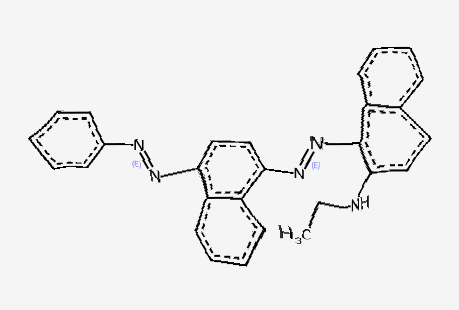 CCNc1ccc2ccccc2c1/N=N/c1ccc(/N=N/c2ccccc2)c2ccccc12